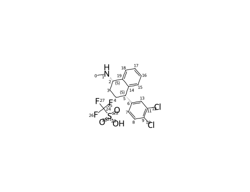 CN[C@H]1CC[C@@H](c2ccc(Cl)c(Cl)c2)c2ccccc21.O=S(=O)(O)C(F)(F)F